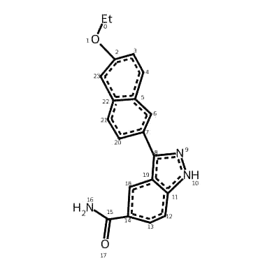 CCOc1ccc2cc(-c3n[nH]c4ccc(C(N)=O)cc34)ccc2c1